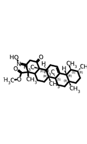 COC(=O)C1(C)C(=NO)CC(=O)[C@@]2(C)C1CC[C@]1(C)[C@@H]2CC=C2[C@@H]3[C@@H](C)[C@H](C)CC[C@]3(C)CC[C@]21C